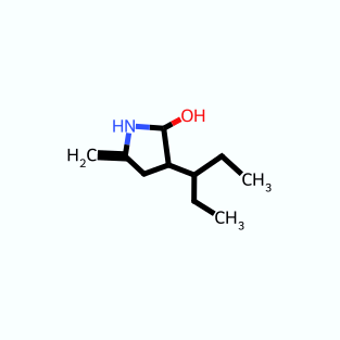 C=C1CC(C(CC)CC)C(O)N1